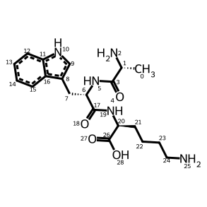 C[C@@H](N)C(=O)N[C@@H](Cc1c[nH]c2ccccc12)C(=O)N[C@@H](CCCCN)C(=O)O